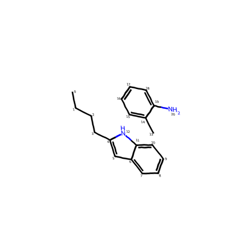 CCCCc1cc2ccccc2[nH]1.Cc1ccccc1N